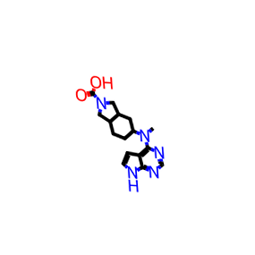 CN(c1ncnc2[nH]ccc12)C1CCC2CN(C(=O)O)CC2C1